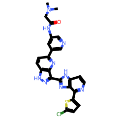 CN(C)CC(=O)Nc1cncc(-c2ccc3[nH]nc(-c4nc5c(-c6ccc(Cl)s6)nccc5[nH]4)c3n2)c1